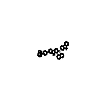 CC1(C)c2ccccc2-c2ccc(N(c3ccc4c(c3)C(C)(C)c3cc(-c5ccc(C67CC8CC(CC(C8)C6)C7)cc5)ccc3-4)c3cccc4ccccc34)cc21